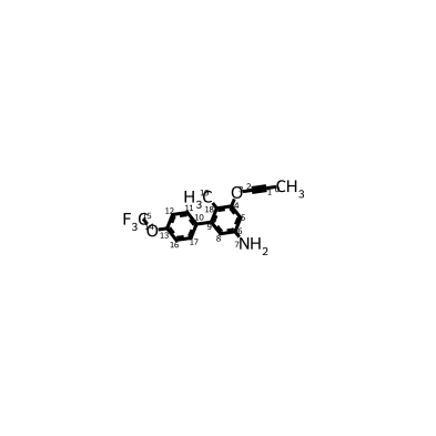 CC#COc1cc(N)cc(-c2ccc(OC(F)(F)F)cc2)c1C